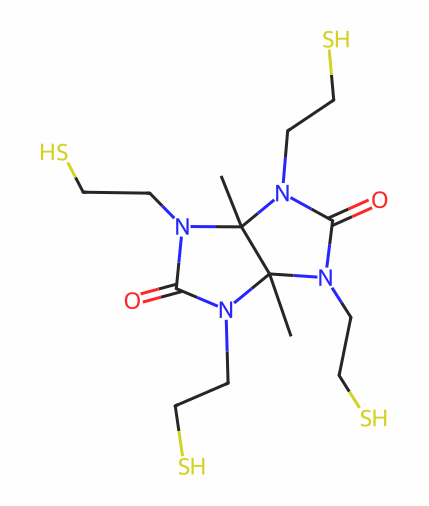 CC12N(CCS)C(=O)N(CCS)C1(C)N(CCS)C(=O)N2CCS